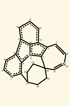 C1=Cc2c3n4c5c(nccc5c5cccc2c54)C2CCC3(C=N1)CC2